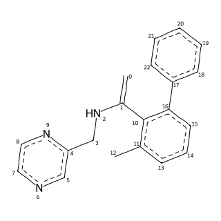 C=C(NCc1cnccn1)c1c(C)cccc1-c1ccccc1